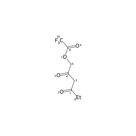 CCC(=O)CC(=O)COC(=O)C(F)(F)F